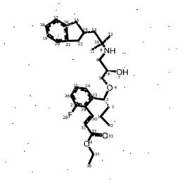 CCC[C@@H](OC[C@H](O)CNC(C)(C)CC1Cc2ccccc2C1)c1cccc(F)c1/C=C/C(=O)OCC